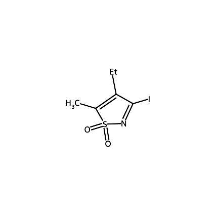 CCC1=C(C)S(=O)(=O)N=C1I